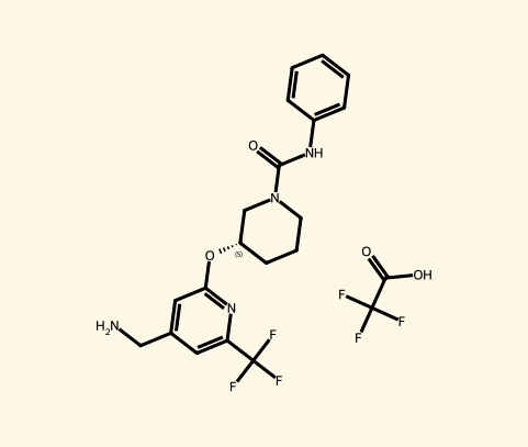 NCc1cc(O[C@H]2CCCN(C(=O)Nc3ccccc3)C2)nc(C(F)(F)F)c1.O=C(O)C(F)(F)F